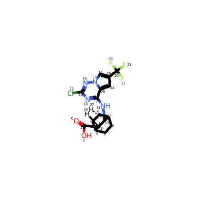 O=C(O)[C@H]1C2CCC(CC2)[C@@H]1Nc1nc(Cl)nn2cc(C(F)(F)F)cc12